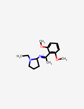 CCN1CCCC1/N=C(\C)c1c(OC)cccc1OC